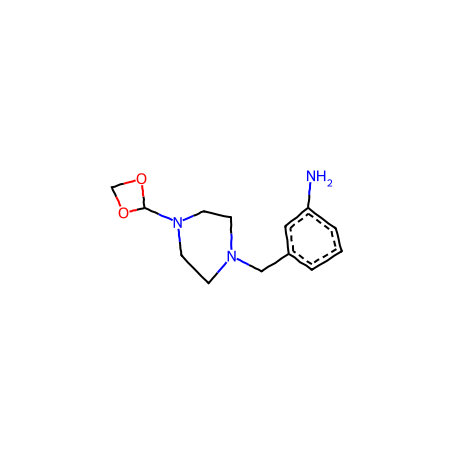 Nc1cccc(CN2CCN(C3OCO3)CC2)c1